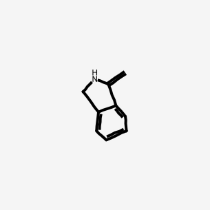 C=C1NCc2ccccc21